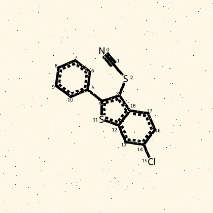 N#CSc1c(-c2ccccc2)sc2cc(Cl)ccc12